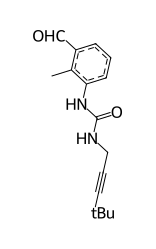 Cc1c(C=O)cccc1NC(=O)NCC#CC(C)(C)C